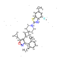 Cc1cc(F)c2nc(N3CCC4(C=C(c5c(-c6c(C)cccc6C)noc5C5CC5)C4)CC3)sc2c1